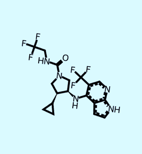 O=C(NCC(F)(F)F)N1C[C@H](C2CC2)[C@H](Nc2c(C(F)(F)F)cnc3[nH]ccc23)C1